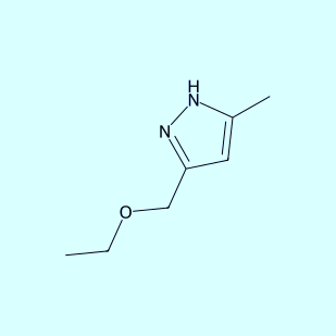 CCOCc1cc(C)[nH]n1